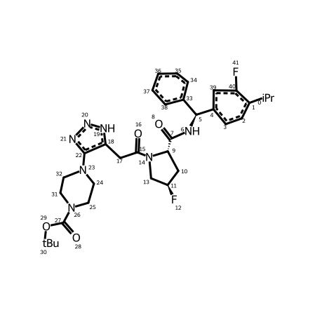 CC(C)c1ccc([C@@H](NC(=O)[C@@H]2C[C@@H](F)CN2C(=O)Cc2[nH]nnc2N2CCN(C(=O)OC(C)(C)C)CC2)c2ccccc2)cc1F